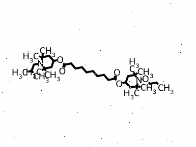 CCCON1C(C)(C)CC(OC(=O)CCCCCCCCC(=O)OC2CC(C)(C)N(CC(C)C)C(C)(C)C2)CC1(C)C